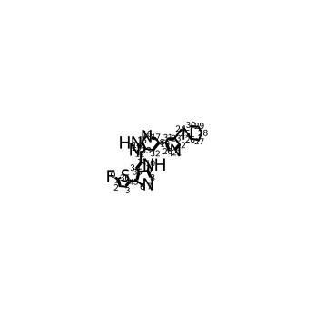 Fc1ccc(-c2cncc3[nH]c(-c4n[nH]c5ncc(-c6cncc(CN7CCCCC7)c6)cc45)cc23)s1